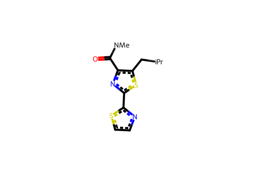 CNC(=O)c1nc(-c2nccs2)sc1CC(C)C